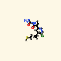 C/C=C(\C(=O)NC(N)=O)C1=NN=C(Cl)C([C@H]2C[C@@H]2/C=C/SC)C1